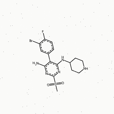 CS(=O)(=O)c1nc(N)c(-c2ccc(F)c(Br)c2)c(NC2CCNCC2)n1